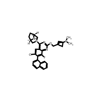 CN(C)C12CC(COc3nc(N4C[C@H]5CC[C@@H](C4)N5)c4cc(Cl)c(-c5cccc6ccccc56)c(F)c4n3)(C1)C2